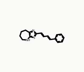 C(C=Cc1nc2c(s1)NCCCC2)=Cc1ccccc1